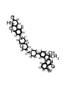 CC1(C)c2ccc(C3CCN(C[C@H]4CCC5(CCN(c6cc(F)c(C7CCC(=O)NC7=O)c(F)c6)CC5)OC4)CC3)cc2-n2c1nc(=O)c1c(Br)cccc12